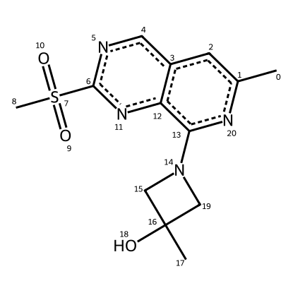 Cc1cc2cnc(S(C)(=O)=O)nc2c(N2CC(C)(O)C2)n1